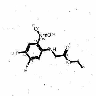 CCOC(=O)CNc1cc(F)c(F)cc1[N+](=O)[O-]